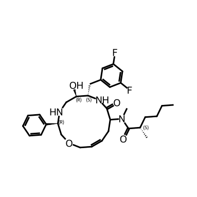 CCCC[C@H](C)C(=O)N(C)C1CC=CCOC[C@@H](c2ccccc2)NC[C@@H](O)[C@H](Cc2cc(F)cc(F)c2)NC1=O